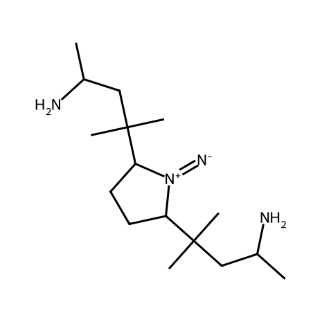 CC(N)CC(C)(C)C1CCC(C(C)(C)CC(C)N)[N+]1=[N-]